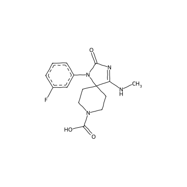 CNC1=NC(=O)N(c2cccc(F)c2)C12CCN(C(=O)O)CC2